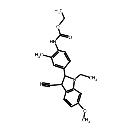 CCOC(=O)Nc1ccc(C2C(C#N)c3ccc(OC)cc3N2CC)cc1C